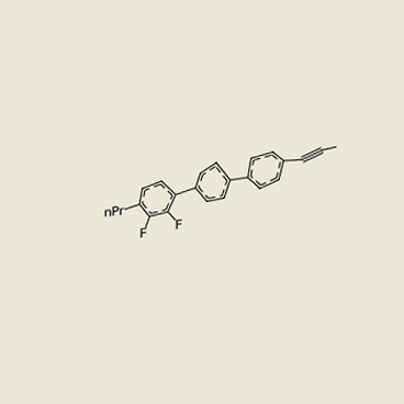 CC#Cc1ccc(-c2ccc(-c3ccc(CCC)c(F)c3F)cc2)cc1